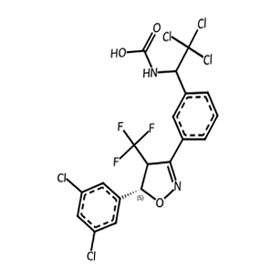 O=C(O)NC(c1cccc(C2=NO[C@H](c3cc(Cl)cc(Cl)c3)C2C(F)(F)F)c1)C(Cl)(Cl)Cl